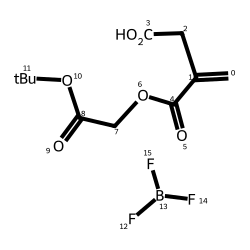 C=C(CC(=O)O)C(=O)OCC(=O)OC(C)(C)C.FB(F)F